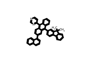 CC1(C)c2ccccc2-c2ccc(-c3c4ccccc4c(-c4ccncn4)c4ccc(-c5cccc6ccccc56)cc34)cc21